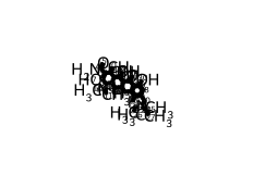 C=C1C(C(N)=O)=C(O)[C@@H](N(C)C)[C@@H]2C[C@@H]3Cc4c(F)c(CN(CC)C(C)(C)C)cc(O)c4C(=O)C3=C(O)[C@]12O